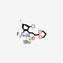 CC(C)(C)[S+]([O-])NC(CCC1OCCCO1)c1c(Cl)cc(F)cc1C(F)(F)F